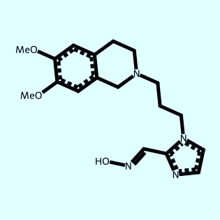 COc1cc2c(cc1OC)CN(CCCn1ccnc1C=NO)CC2